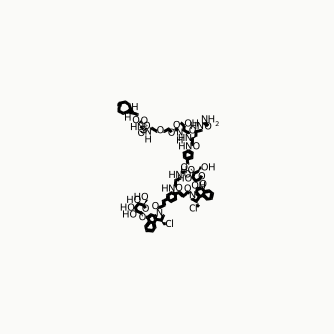 CC(O)[C@H](NC(=O)OCCOCCNS(=O)(=O)NC(=O)OCC1[C@H]2CCC#CCC[C@@H]12)C(=O)N[C@@H](CCCNC(N)=O)C(=O)Nc1ccc(COC(=O)NCCC(=O)Nc2cc(/C=C/C(=O)N3C[C@@H](CCl)c4c3cc(O[C@H]3O[C@H](CO)[C@@H](O)[C@H](O)[C@H]3O)c3ccccc43)ccc2/C=C/C(=O)N2C[C@@H](CCl)c3c2cc(O[C@@H]2O[C@H](CO)[C@@H](O)[C@H](O)[C@H]2O)c2ccccc32)cc1